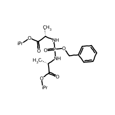 CC(C)OC(=O)[C@H](C)NP(=O)(N[C@@H](C)C(=O)OC(C)C)OCc1ccccc1